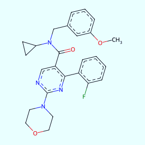 COc1cccc(CN(C(=O)c2cnc(N3CCOCC3)nc2-c2ccccc2F)C2CC2)c1